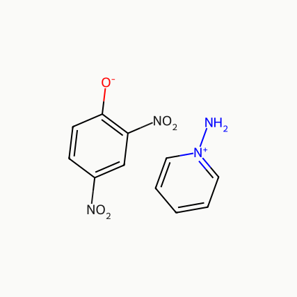 N[n+]1ccccc1.O=[N+]([O-])c1ccc([O-])c([N+](=O)[O-])c1